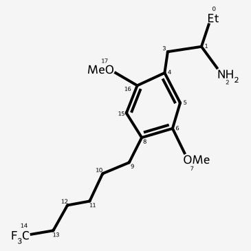 CCC(N)Cc1cc(OC)c(CCCCCC(F)(F)F)cc1OC